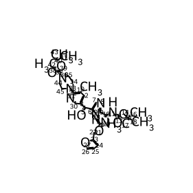 Cc1cc(C(O)c2cnc3c(NC(=O)OC(C)(C)C)nc(OCc4ccco4)nn23)cnc1N1CCN(C(=O)OC(C)(C)C)CC1